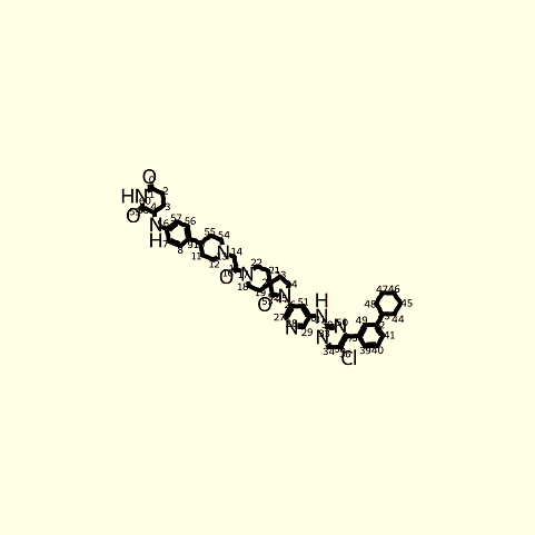 O=C1CCC(Nc2ccc(C3CCN(CC(=O)N4CCC5(CC4)CCN(c4cncc(Nc6ncc(Cl)c(-c7cccc(C8CCCCC8)c7)n6)c4)C5=O)CC3)cc2)C(=O)N1